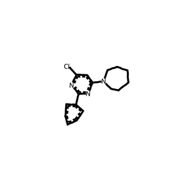 Clc1cc(N2CCCCCC2)nc(-c2ccccc2)n1